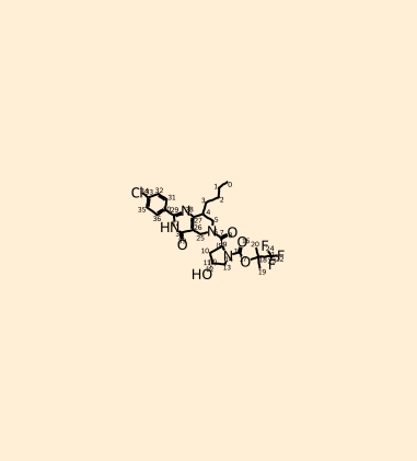 CCCCC1CN(C(=O)[C@@H]2C[C@@H](O)CN2C(=O)OC(C)(C)C(F)(F)F)Cc2c1nc(-c1ccc(Cl)cc1)[nH]c2=O